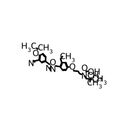 CCc1cc(OCCCN(CC(C)(C)C)C(=O)O)ccc1-c1nnc(-c2ccc(OC(C)C)c(C#N)c2)o1